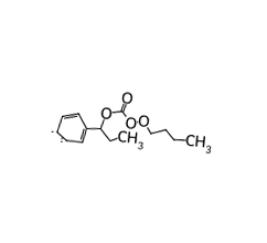 CCCCOOC(=O)OC(CC)C1=C[C][CH]C=C1